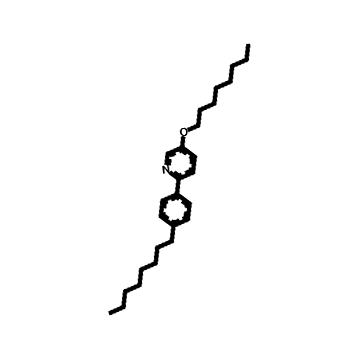 CCCCCCCCOc1ccc(-c2ccc(CCCCCCCC)cc2)nc1